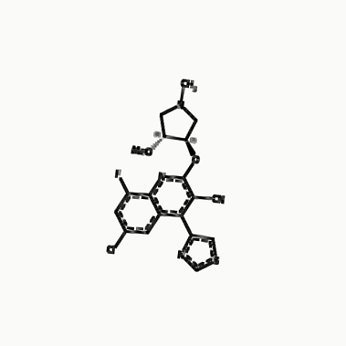 CO[C@@H]1CN(C)C[C@H]1Oc1nc2c(F)cc(Cl)cc2c(-c2cscn2)c1C#N